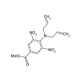 C=CCN(CC=C)c1c([N+](=O)[O-])cc(C(=O)OC)cc1[N+](=O)[O-]